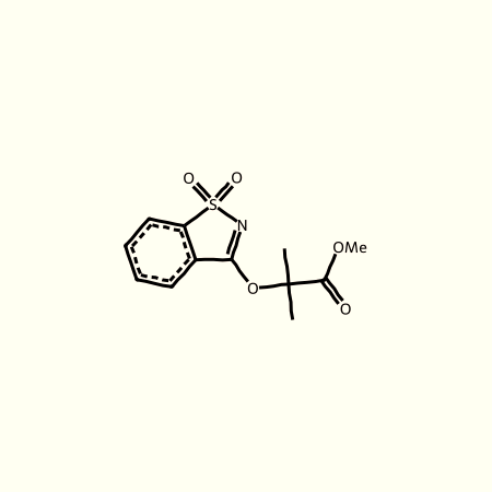 COC(=O)C(C)(C)OC1=NS(=O)(=O)c2ccccc21